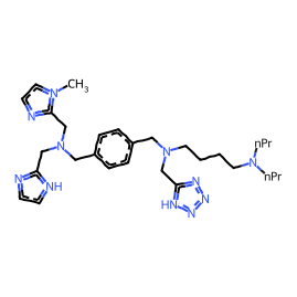 CCCN(CCC)CCCCN(Cc1ccc(CN(Cc2ncc[nH]2)Cc2nccn2C)cc1)Cc1nnn[nH]1